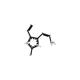 C=Cc1nc(C)sc1/C=C\N